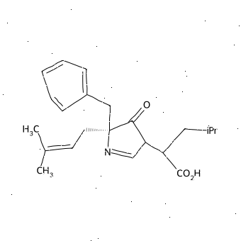 CC(C)=CC[C@@]1(Cc2ccccc2)N=CC(C(CC(C)C)C(=O)O)C1=O